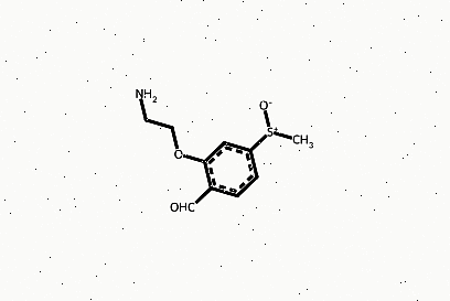 C[S+]([O-])c1ccc(C=O)c(OCCN)c1